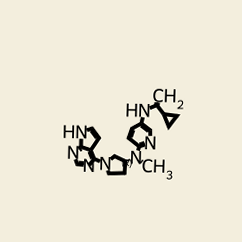 C=C(Nc1ccc(N(C)[C@@H]2CCN(c3ncnc4[nH]ccc34)C2)nc1)C1CC1